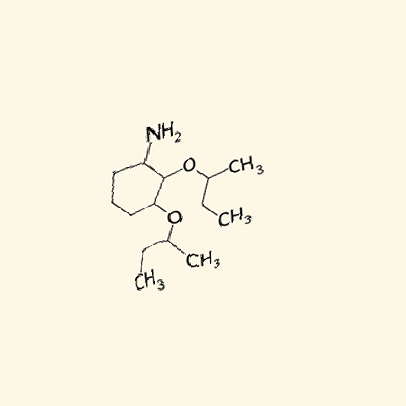 CCC(C)OC1CCCC(N)C1OC(C)CC